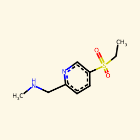 CCS(=O)(=O)c1ccc(CNC)nc1